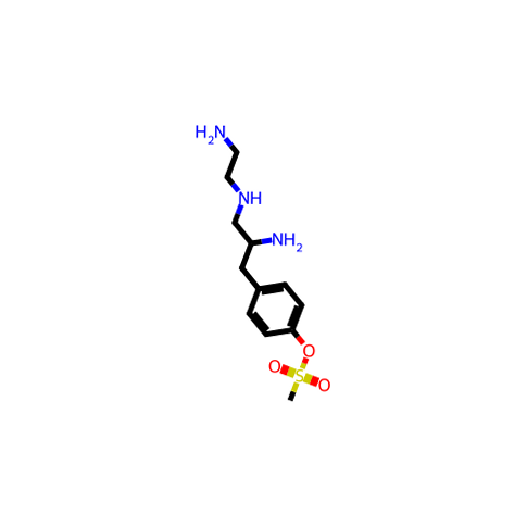 CS(=O)(=O)Oc1ccc(CC(N)CNCCN)cc1